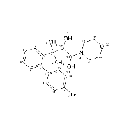 CC(C)(c1ccccc1-c1ccc(Br)cc1)C(O)C(O)N1CCOCC1